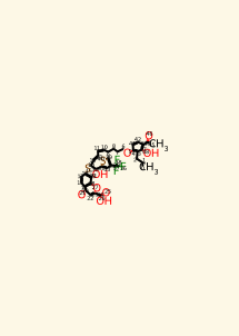 CCCc1c(OCCCC/C=C\C=C\C(Sc2ccc3c(=O)cc(C(=O)O)oc3c2)C(O)c2cc(C(F)(F)F)cs2)ccc(C(C)=O)c1O